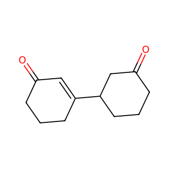 O=C1C=C(C2CCCC(=O)C2)CCC1